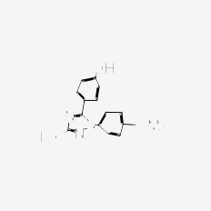 COc1ccc(-n2nc(C(F)(F)F)nc2-c2ccc(O)cc2)cc1